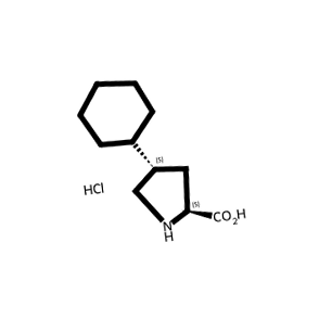 Cl.O=C(O)[C@@H]1C[C@@H](C2CCCCC2)CN1